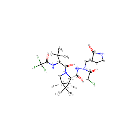 CC(C)(C)[C@H](NC(=O)C(F)(F)F)C(=O)N1C[C@H]2[C@@H]([C@H]1C(=O)NN(C[C@@H]1CCNC1=O)C(=O)CCl)C2(C)C